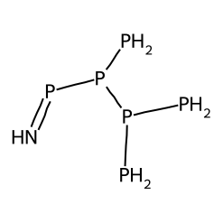 N=PP(P)P(P)P